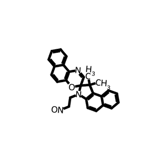 CC1(C)c2c(ccc3ccccc23)N(CCN=O)C12C=Nc1c(ccc3ccccc13)O2